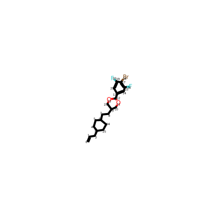 C=CCC1CCC(CCC2COC(c3cc(F)c(Br)c(F)c3)OC2)CC1